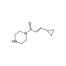 O=C(/C=C/C1CC1)N1CCNCC1